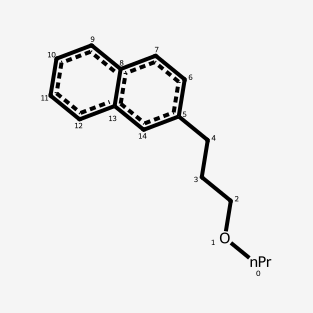 [CH2]CCOCCCc1ccc2ccccc2c1